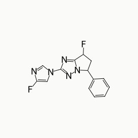 Fc1cn(-c2nc3n(n2)C(c2ccccc2)CC3F)cn1